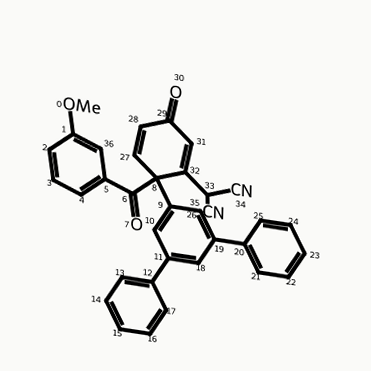 COc1cccc(C(=O)C2(c3cc(-c4ccccc4)cc(-c4ccccc4)c3)C=CC(=O)C=C2C(C#N)C#N)c1